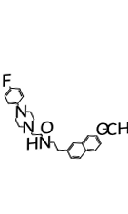 COc1ccc2ccc(CCNC(=O)CN3CCN(c4ccc(F)cc4)CC3)cc2c1